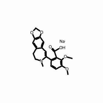 COc1ccc(C2=Cc3cc4c(cc3CCN2C)OCO4)c(C(=O)O)c1OC.[Na]